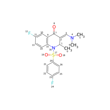 CC1C(=CN(C)C)C(=O)c2cc(F)ccc2N1S(=O)(=O)c1ccc(F)cc1